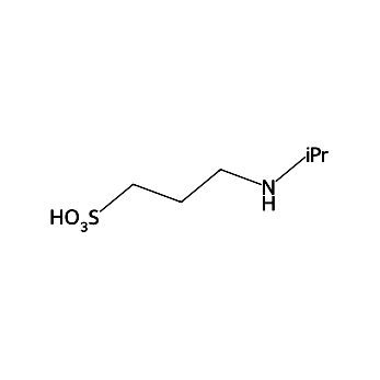 CC(C)NCCCS(=O)(=O)O